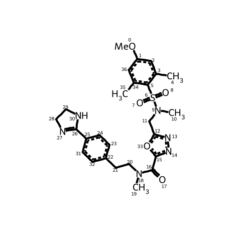 COc1cc(C)c(S(=O)(=O)N(C)Cc2nnc(C(=O)N(C)CCc3ccc(C4=NCCN4)cc3)o2)c(C)c1